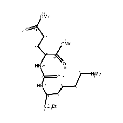 CCOC(=O)C(CCCCNC)NC(=O)NC(CCC(=O)OC)C(=O)OC